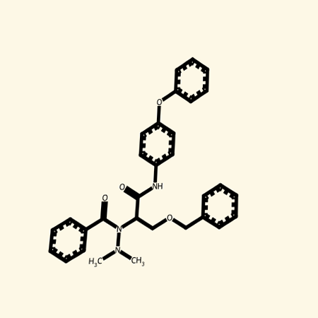 CN(C)N(C(=O)c1ccccc1)C(COCc1ccccc1)C(=O)Nc1ccc(Oc2ccccc2)cc1